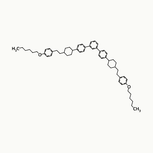 CCCCCCOc1ccc(CCC2CCC(c3ccc(-c4cccc(-c5ccc(C6CCC(CCc7ccc(OCCCCCC)cc7)CC6)cc5)c4)cc3)CC2)cc1